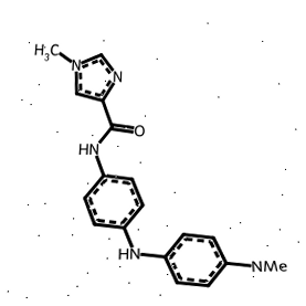 CNc1ccc(Nc2ccc(NC(=O)c3cn(C)cn3)cc2)cc1